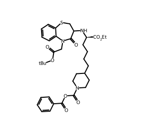 CCOC(=O)[C@@H](CCCCC1CCN(C(=O)OC(=O)c2ccccc2)CC1)NC1CSc2ccccc2N(CC(=O)OC(C)(C)C)C1=O